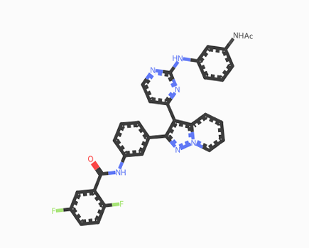 CC(=O)Nc1cccc(Nc2nccc(-c3c(-c4cccc(NC(=O)c5cc(F)ccc5F)c4)nn4ccccc34)n2)c1